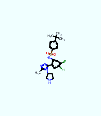 Cc1nnc(-c2cc(Cl)c(F)cc2NS(=O)(=O)c2ccc(C(C)(C)C)cc2)n1[C@H]1CCNC1